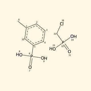 Cc1cccc(P(=O)(O)O)c1.O=P(O)(O)CCl